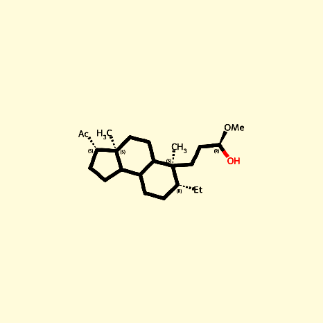 CC[C@@H]1CCC2C3CC[C@H](C(C)=O)[C@@]3(C)CCC2[C@@]1(C)CC[C@H](O)OC